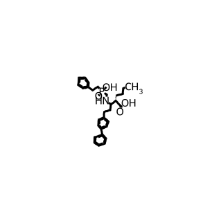 CCCC[C@H](C(=O)O)C(CCc1ccc(-c2ccccc2)cc1)NCP(=O)(O)CCc1ccccc1